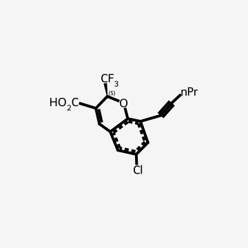 CCCC#Cc1cc(Cl)cc2c1O[C@H](C(F)(F)F)C(C(=O)O)=C2